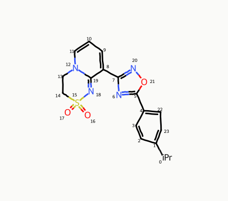 CC(C)c1ccc(-c2nc(C3=CC=CN4CCS(=O)(=O)N=C34)no2)cc1